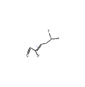 O=C/C(F)=C/CC(F)F